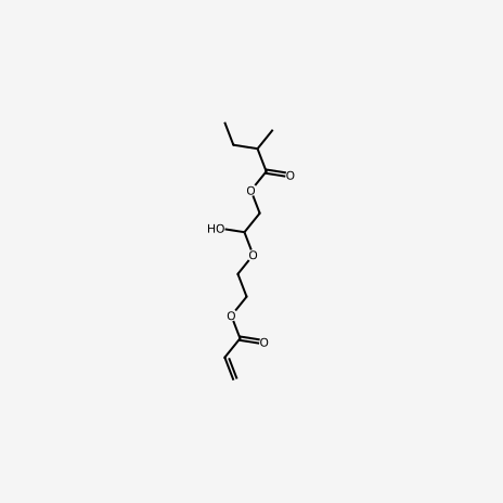 C=CC(=O)OCCOC(O)COC(=O)C(C)CC